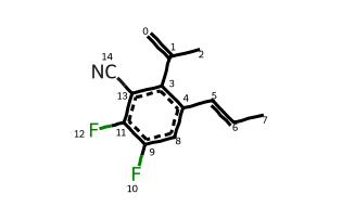 C=C(C)c1c(/C=C/C)cc(F)c(F)c1C#N